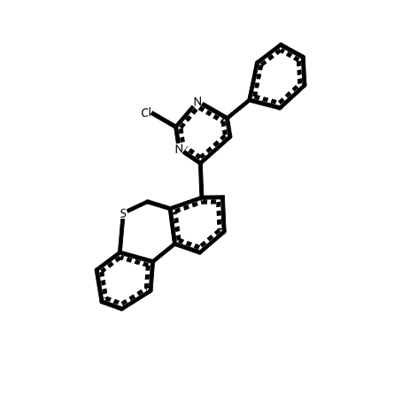 Clc1nc(-c2ccccc2)cc(-c2cccc3c2CSc2ccccc2-3)n1